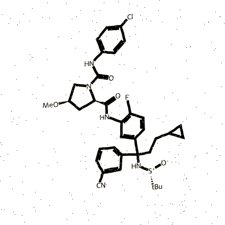 CO[C@@H]1C[C@H](C(=O)Nc2cc(C(CCC3CC3)(N[S@+]([O-])C(C)(C)C)c3cccc(C#N)c3)ccc2F)N(C(=O)Nc2ccc(Cl)cc2)C1